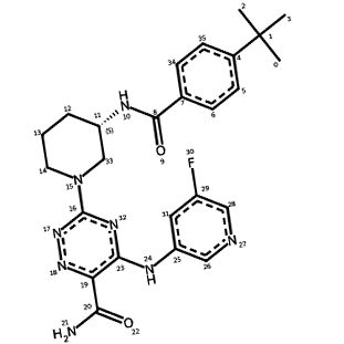 CC(C)(C)c1ccc(C(=O)N[C@H]2CCCN(c3nnc(C(N)=O)c(Nc4cncc(F)c4)n3)C2)cc1